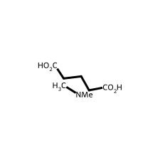 CNC.O=C(O)CCCC(=O)O